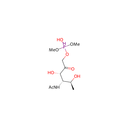 CO[PH](O)(OC)OCC(=O)[C@@H](O)[C@@H](NC(C)=O)[C@H](C)O